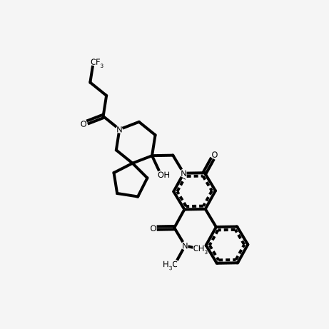 CN(C)C(=O)c1cn(CC2(O)CCN(C(=O)CCC(F)(F)F)CC23CCCC3)c(=O)cc1-c1ccccc1